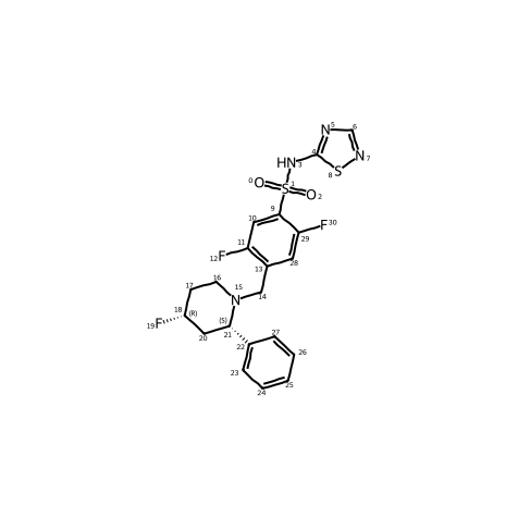 O=S(=O)(Nc1ncns1)c1cc(F)c(CN2CC[C@@H](F)C[C@H]2c2ccccc2)cc1F